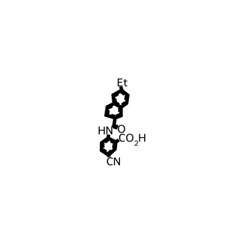 CCc1ccc2cc(C(=O)Nc3ccc(C#N)cc3C(=O)O)ccc2c1